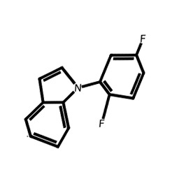 Fc1ccc(F)c(-n2ccc3c[c]ccc32)c1